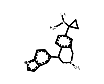 CN1Cc2cc(C3(N(C)C)CC3)ccc2C(c2ccc3[nH]ccc3c2)C1